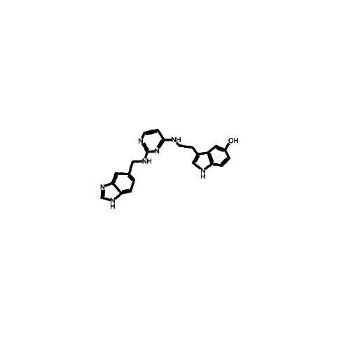 Oc1ccc2[nH]cc(CCNc3ccnc(NCc4ccc5[nH]cnc5c4)n3)c2c1